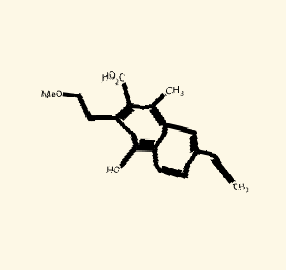 C=Cc1ccc2c(O)c(CCOC)c(C(=O)O)c(C)c2c1